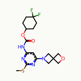 CSc1nc(NC(=O)OC2CCC(F)(F)CC2)cc(N2CC3(COC3)C2)n1